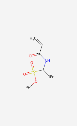 [2H]OS(=O)(=O)C(NC(=O)C=C)C(C)C